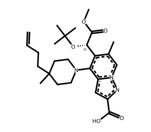 C=CCCC1(C)CCN(c2c([C@H](OC(C)(C)C)C(=O)OC)c(C)cn3nc(C(=O)O)cc23)CC1